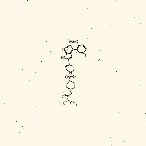 COc1ccc(F)cc1-c1ccnc2[nH]c(C3=CCN(S(=O)(=O)C4CCN(CC(=O)N(C)C)CC4)CC3)cc12